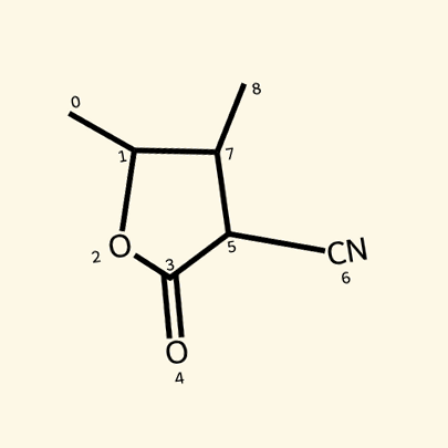 CC1OC(=O)C(C#N)C1C